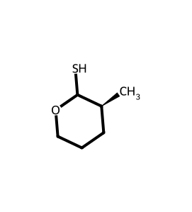 C[C@H]1CCCOC1S